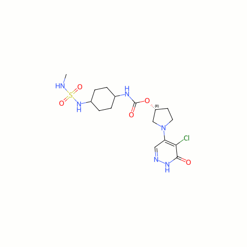 CNS(=O)(=O)NC1CCC(NC(=O)O[C@@H]2CCN(c3cn[nH]c(=O)c3Cl)C2)CC1